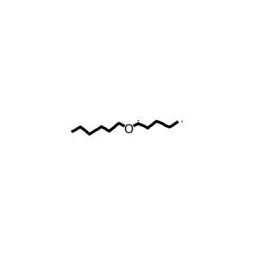 [CH2]CCC[CH]OCCCCCC